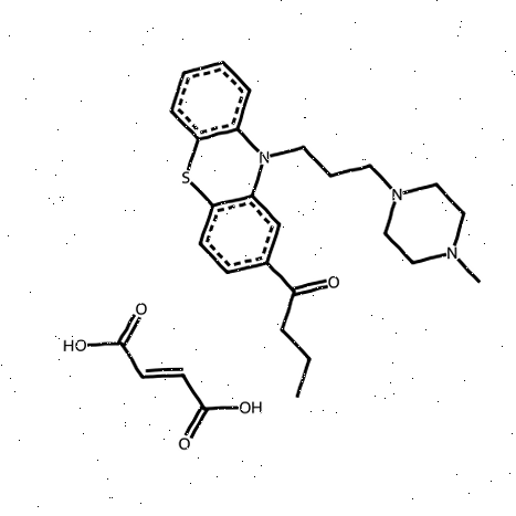 CCCC(=O)c1ccc2c(c1)N(CCCN1CCN(C)CC1)c1ccccc1S2.O=C(O)C=CC(=O)O